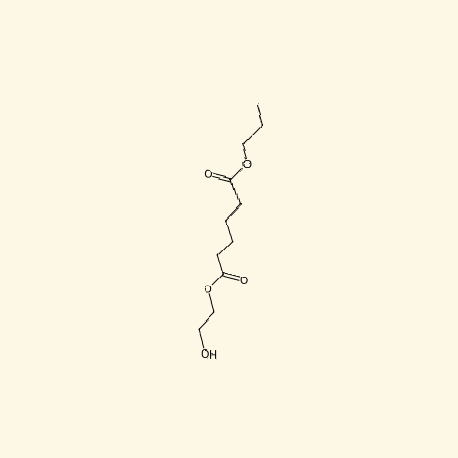 CCCOC(=O)CCCCC(=O)OCCO